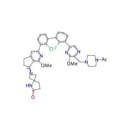 COc1nc(-c2cccc(-c3cccc(-c4cc5c(c(OC)n4)[C@@H](N4CC6(CCC(=O)N6)C4)CC5)c3Cl)c2F)cnc1CN1CCN(C(C)=O)CC1